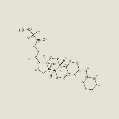 C[C@H](CCC(=O)C(C)(C)OO)[C@H]1CC[C@H]2[C@@H]3CC=C4C[C@@H](OC5CCCCO5)CC[C@]4(C)[C@H]3CC[C@]12C